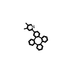 Cc1cnc(-c2ccc3c(c2)-c2ccccc2-c2ccccc2-c2ccccc2-3)cc1C